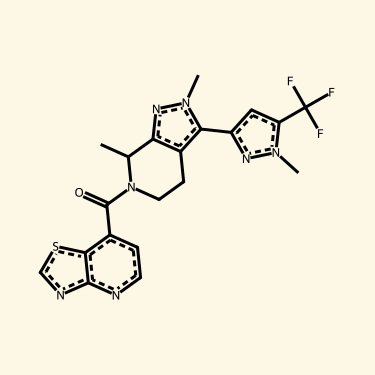 CC1c2nn(C)c(-c3cc(C(F)(F)F)n(C)n3)c2CCN1C(=O)c1ccnc2ncsc12